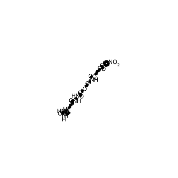 O=C(CCCC[C@@H]1SC[C@@H]2NC(=O)N[C@@H]21)NCCNC(=O)OCCOCCOCCNC(=O)OC/C=C/COC(=O)Oc1ccc([N+](=O)[O-])cc1